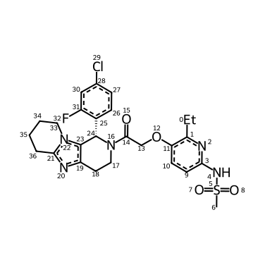 CCc1nc(NS(C)(=O)=O)ccc1OCC(=O)N1CCc2nc3n(c2[C@@H]1c1ccc(Cl)cc1F)CCCC3